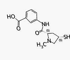 CN1C[C@@H](S)C[C@H]1C(=O)Nc1cccc(C(=O)O)c1